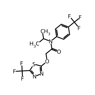 CC(C)N(C(=O)COc1nnc(C(F)(F)F)s1)c1ccc(C(F)(F)F)cc1